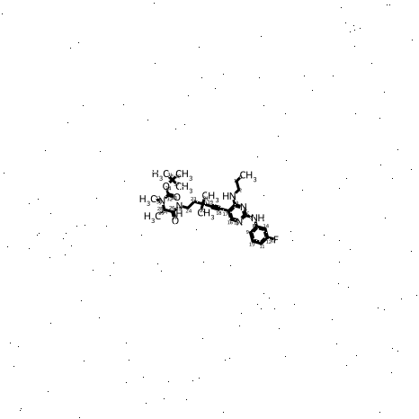 CCCNc1nc(Nc2cccc(F)c2)ncc1C#CC(C)(C)CCNC(=O)[C@H](C)N(C)C(=O)OC(C)(C)C